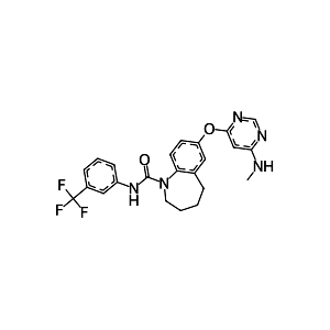 CNc1cc(Oc2ccc3c(c2)CCCCN3C(=O)Nc2cccc(C(F)(F)F)c2)ncn1